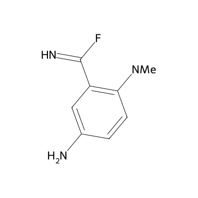 CNc1ccc(N)cc1C(=N)F